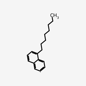 CCCCCCCCc1cccc2c[c]ccc12